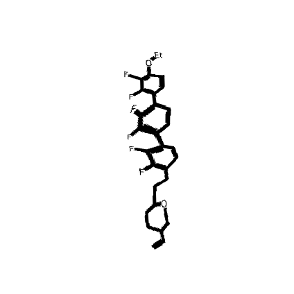 C=CC1CCC(CCc2ccc(-c3ccc(-c4ccc(OCC)c(F)c4F)c(F)c3F)c(F)c2F)OC1